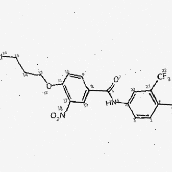 Cc1ccc(NC(=O)c2ccc(OCCCCl)c([N+](=O)[O-])c2)cc1C(F)(F)F